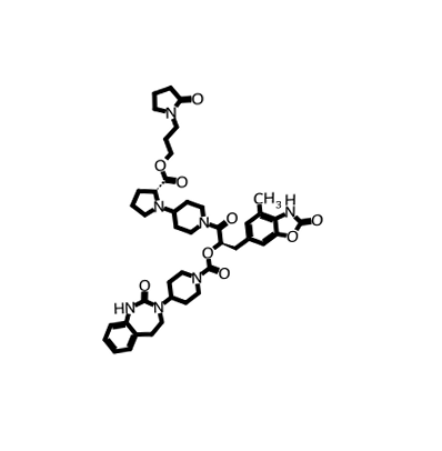 Cc1cc(C[C@@H](OC(=O)N2CCC(N3CCc4ccccc4NC3=O)CC2)C(=O)N2CCC(N3CCC[C@@H]3C(=O)OCCCN3CCCC3=O)CC2)cc2oc(=O)[nH]c12